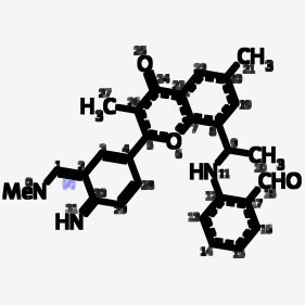 CN/C=C1/C=C(c2oc3c(C(C)Nc4ccccc4C=O)cc(C)cc3c(=O)c2C)C=CC1=N